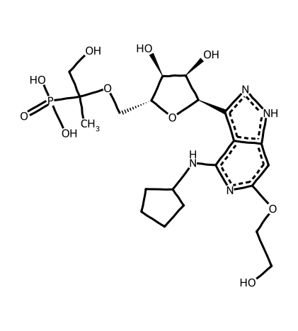 CC(CO)(OC[C@H]1O[C@H](c2n[nH]c3cc(OCCO)nc(NC4CCCC4)c23)[C@H](O)[C@@H]1O)P(=O)(O)O